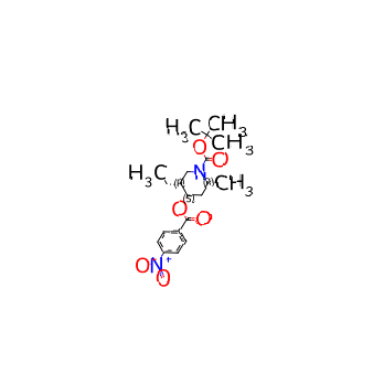 CC[C@@H]1CN(C(=O)OC(C)(C)C)[C@H](C)C[C@@H]1OC(=O)c1ccc([N+](=O)[O-])cc1